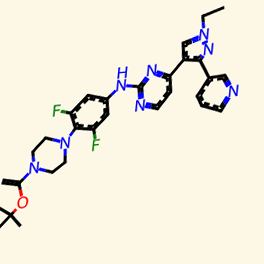 C=C(OC(C)(C)C)N1CCN(c2c(F)cc(Nc3nccc(-c4cn(CC)nc4-c4cccnc4)n3)cc2F)CC1